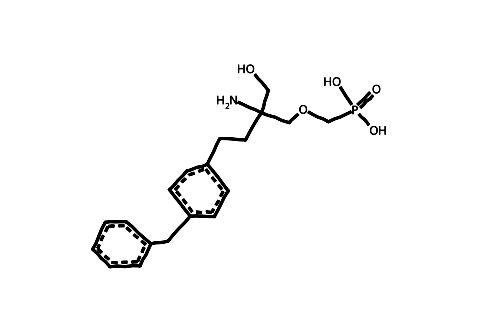 NC(CO)(CCc1ccc(Cc2ccccc2)cc1)COCP(=O)(O)O